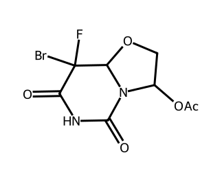 CC(=O)OC1COC2N1C(=O)NC(=O)C2(F)Br